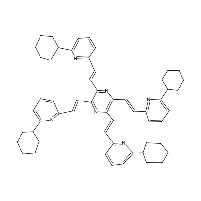 C(=Cc1nc(C=Cc2cccc(C3CCCCC3)n2)c(C=Cc2cccc(C3CCCCC3)n2)nc1C=Cc1cccc(C2CCCCC2)n1)c1cccc(C2CCCCC2)n1